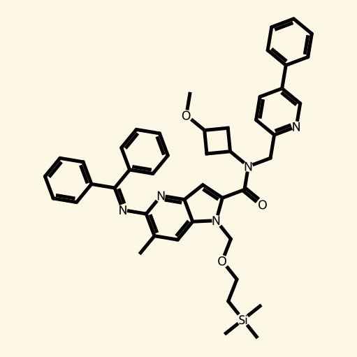 COC1CC(N(Cc2ccc(-c3ccccc3)cn2)C(=O)c2cc3nc(N=C(c4ccccc4)c4ccccc4)c(C)cc3n2COCC[Si](C)(C)C)C1